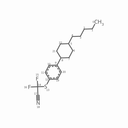 CCCCCC1CCC(c2ccc(SC(F)(F)C#N)cc2)CC1